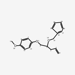 C=CCC(COc1ccc(OC)cc1)OCc1ccccc1